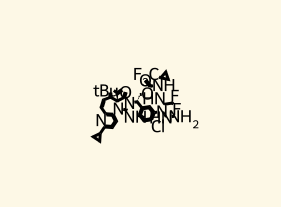 C=C1C=Cc2nc(C3CC3)ccc2N2C(=N)N([C@H](COC(=O)NC3(C(F)(F)F)CC3)c3ccc(Cl)c(N(NN)C(=N)C(F)F)c3)C(=O)[C@@]12C(=C)C(C)(C)C